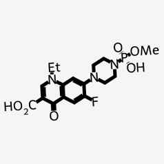 CCn1cc(C(=O)O)c(=O)c2cc(F)c(N3CCN(P(=O)(O)OC)CC3)cc21